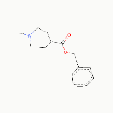 [CH2]N1CCC(C(=O)OCc2ccccc2)CC1